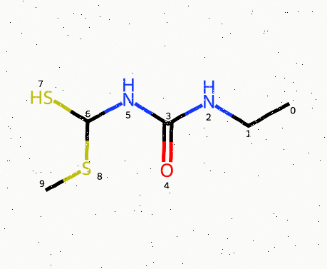 CCNC(=O)NC(S)SC